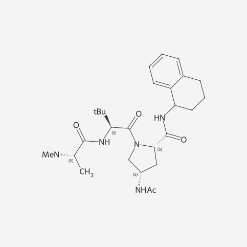 CN[C@@H](C)C(=O)N[C@H](C(=O)N1C[C@@H](NC(C)=O)C[C@H]1C(=O)NC1CCCc2ccccc21)C(C)(C)C